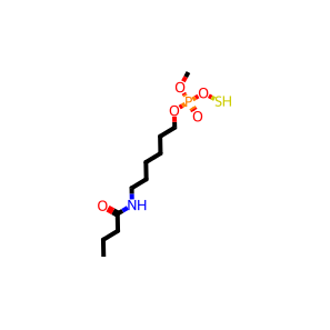 CCCC(=O)NCCCCCCOP(=O)(OC)OS